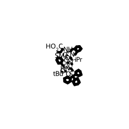 CSCC[C@H](NC(=O)[C@@H]1Cc2ccccc2CN1C(=O)[C@H](C(C)C)N(C[C@H](CSC(c1ccccc1)(c1ccccc1)c1ccccc1)NC(=O)OC(C)(C)C)C(=O)OCc1ccccc1)C(=O)O